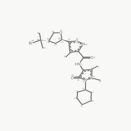 Cc1c(C(=O)Nc2c(C)n(C)n(C3CCCCC3)c2=O)noc1[C@H]1C[C@H](C(C)(C)Br)CO1